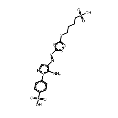 Nc1c(N=Nc2nc(SCCCCS(=O)(=O)O)ns2)cnn1-c1ccc(S(=O)(=O)O)cc1